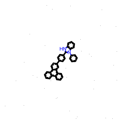 c1ccc(N2c3ccccc3NC2c2ccc(-c3ccc4c5ccccc5c5ccccc5c4c3)cc2)cc1